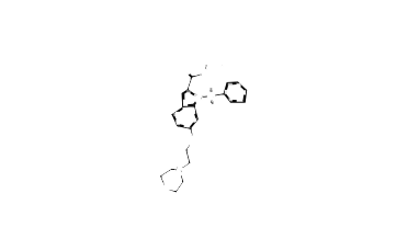 COC(=O)c1cc2ccc(OCCN3CCOCC3)cc2n1S(=O)(=O)c1ccccc1